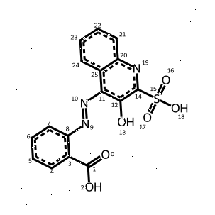 O=C(O)c1ccccc1N=Nc1c(O)c(S(=O)(=O)O)nc2ccccc12